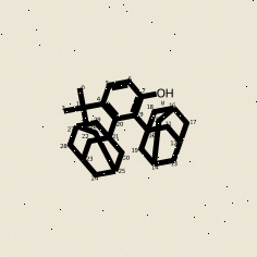 CC(C)(C)c1ccc(O)c(C23CC4CC(CC(C4)C2)C3)c1C12CC3CC(CC(C3)C1)C2